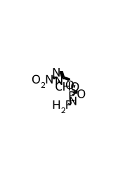 Cn1c(COOC(=O)/P=N/P)cnc1[N+](=O)[O-]